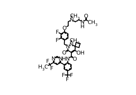 CC(=O)NCCN(C)CCOc1ccc(CN2C(=O)C(C(=O)Nc3ccc(C(F)(F)F)cc3-c3cc(C(C)(F)F)ncn3)=C(O)C3(CCC3)N2C)c(F)c1F